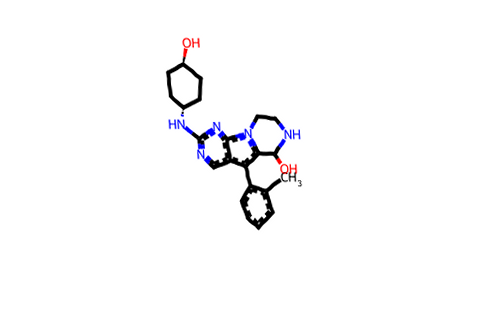 Cc1ccccc1-c1c2n(c3nc(N[C@H]4CC[C@H](O)CC4)ncc13)CCNC2O